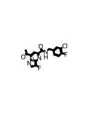 CC(=O)c1cc(C(=O)NCc2ccc(F)c(Cl)c2)nc2c(F)cnn12